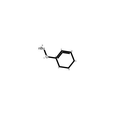 CCCCOC1=C=CCCC1